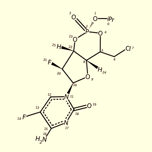 CC(C)O[P@]1(=O)OC(CCl)[C@@H]2O[C@@H](n3cc(F)c(N)nc3=O)[C@@H](F)[C@@H]2O1